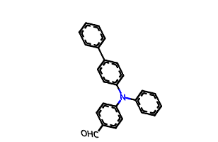 O=Cc1ccc(N(c2ccccc2)c2ccc(-c3ccccc3)cc2)cc1